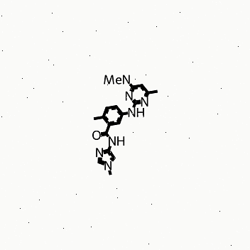 CNc1cc(C)nc(Nc2ccc(C)c(C(=O)Nc3cn(C)cn3)c2)n1